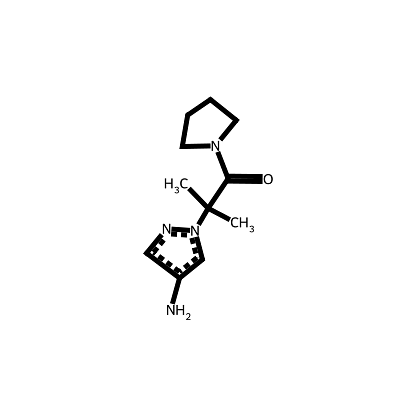 CC(C)(C(=O)N1CCCC1)n1cc(N)cn1